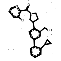 O=C(c1ncccc1Cl)N1CCC(c2ccc(-c3ccccc3C3CC3)cc2CO)C1